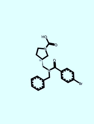 O=C(O)N1CC[C@@H](CN(Cc2ccccc2)C(=O)c2ccc(Br)cc2)C1